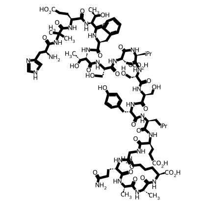 CC(C)C[C@H](NC(=O)[C@H](Cc1ccc(O)cc1)NC(=O)[C@H](CO)NC(=O)[C@H](CO)NC(=O)[C@@H](NC(=O)[C@H](CC(=O)O)NC(=O)[C@H](CO)NC(=O)[C@@H](NC(=O)[C@H](Cc1ccccc1)NC(=O)[C@@H](NC(=O)[C@H](CCC(=O)O)NC(=O)C(C)(C)NC(=O)[C@@H](N)Cc1c[nH]cn1)[C@@H](C)O)[C@@H](C)O)C(C)C)C(=O)N[C@@H](CCC(=O)O)C(=O)NCC(=O)N[C@@H](CCC(N)=O)C(=O)N[C@@H](C)C(=O)N[C@@H](C)C(=O)N[C@@H](CCCCN)C(=O)O